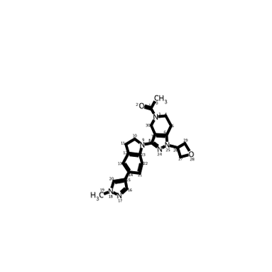 CC(=O)N1CCc2c(c(N3CCc4cc(-c5cnn(C)c5)ccc43)nn2C2COC2)C1